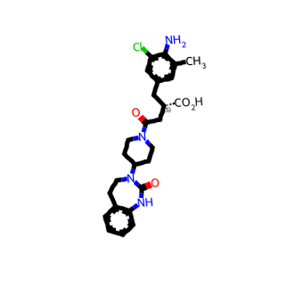 Cc1cc(C[C@@H](CC(=O)N2CCC(N3CCc4ccccc4NC3=O)CC2)C(=O)O)cc(Cl)c1N